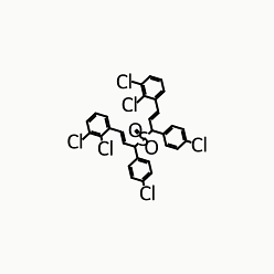 O=S(=O)(C(C=Cc1cccc(Cl)c1Cl)c1ccc(Cl)cc1)C(C=Cc1cccc(Cl)c1Cl)c1ccc(Cl)cc1